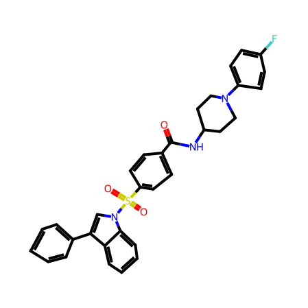 O=C(NC1CCN(c2ccc(F)cc2)CC1)c1ccc(S(=O)(=O)n2cc(-c3ccccc3)c3ccccc32)cc1